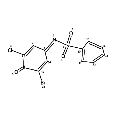 O=C1C(Cl)=CC(=NS(=O)(=O)c2ccccc2)C=C1Br